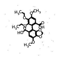 CCOc1c(OC)cc(C(=O)O)c(-c2c(C(=O)O)cc(OC)c3c2OCO3)c1OCC